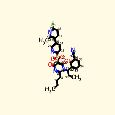 CCCCc1nc(=O)c(S(=O)(=O)c2ccc(-c3ccc(F)nc3C)cn2)c(O)n1C(CC)c1cccc(C#N)c1